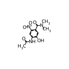 CC(=O)Nc1cc([N+](=O)[O-])c(C(=O)N(C)C)cc1O